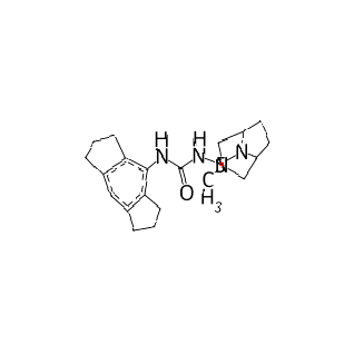 CN1CC2CCC(C1)N2SNC(=O)Nc1c2c(cc3c1CCC3)CCC2